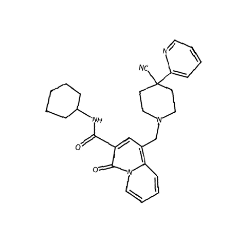 N#CC1(c2ccccn2)CCN(Cc2cc(C(=O)NC3CCCCC3)c(=O)n3ccccc23)CC1